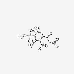 Cc1cc(C(=O)C[N+](=O)[O-])c([N+](=O)[O-])c(C)c1C(C)(C)C